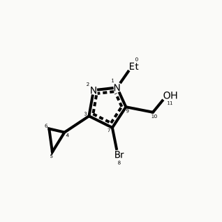 CCn1nc(C2CC2)c(Br)c1CO